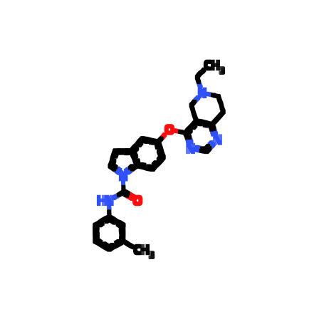 CCN1CCc2ncnc(Oc3ccc4c(ccn4C(=O)Nc4cccc(C)c4)c3)c2C1